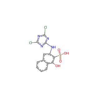 O=S(=O)(O)c1c(Nc2nc(Cl)nc(Cl)n2)cc2ccccc2c1O